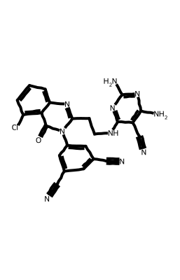 N#Cc1cc(C#N)cc(-n2c(CCNc3nc(N)nc(N)c3C#N)nc3cccc(Cl)c3c2=O)c1